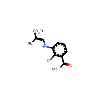 CCOC(=O)C(C#N)=CNc1cccc(C(=O)OC)c1Cl